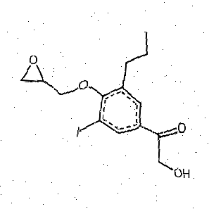 CCCc1cc(C(=O)CO)cc(I)c1OCC1CO1